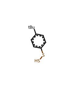 CC(C)(C)c1ccc(SS)cc1